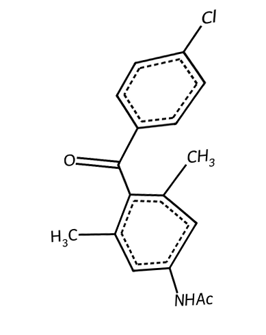 CC(=O)Nc1cc(C)c(C(=O)c2ccc(Cl)cc2)c(C)c1